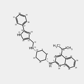 CN(C)c1nc(N[C@H]2CC[C@@H](NCc3c[nH]c(-c4ccccc4)n3)CC2)nc2ccccc12